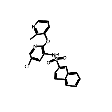 Cc1ncccc1Oc1ncc(Cl)cc1NS(=O)(=O)c1ccc2ccccc2c1